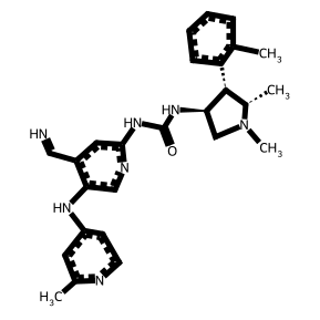 Cc1cc(Nc2cnc(NC(=O)N[C@@H]3CN(C)[C@@H](C)[C@H]3c3ccccc3C)cc2C=N)ccn1